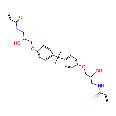 C=CC(=O)NCC(O)COc1ccc(C(C)(C)c2ccc(OCC(O)CNC(=O)C=C)cc2)cc1